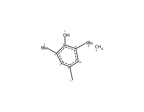 C.Cc1cc(C(C)(C)C)c(O)c(C(C)(C)C)c1